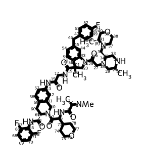 CNC(C)C(=O)NC(C(=O)N1Cc2cc(NC(=O)CNC(=O)C3(C)CN(C(=O)CN4C[C@@H](C)NC[C@@H]4CN4CCOC[C@H]4C)c4cc(Cc5ccc(F)cc5)ccc43)ccc2C[C@H]1C(=O)Nc1c(F)cccc1F)C1CCOCC1